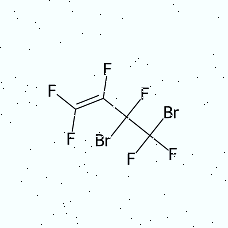 FC(F)=C(F)C(F)(Br)C(F)(F)Br